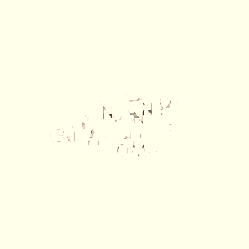 COC(=O)[C@@H]1C[C@]2(C(=O)OC(C)(C)C)CCCN2[C@@H]1c1ccn(C2CCCCO2)n1